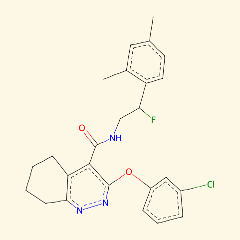 Cc1ccc(C(F)CNC(=O)c2c(Oc3cccc(Cl)c3)nnc3c2CCCC3)c(C)c1